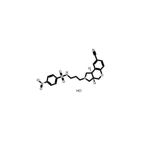 Cl.N#Cc1ccc2c(c1)[C@@H]1CN(CCCNS(=O)(=O)c3ccc([N+](=O)[O-])cc3)C[C@H]1CO2